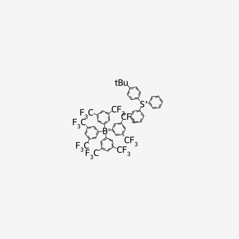 CC(C)(C)c1ccc([S+](c2ccccc2)c2ccccc2)cc1.FC(F)(F)c1cc([B-](c2cc(C(F)(F)F)cc(C(F)(F)F)c2)(c2cc(C(F)(F)F)cc(C(F)(F)F)c2)c2cc(C(F)(F)F)cc(C(F)(F)F)c2)cc(C(F)(F)F)c1